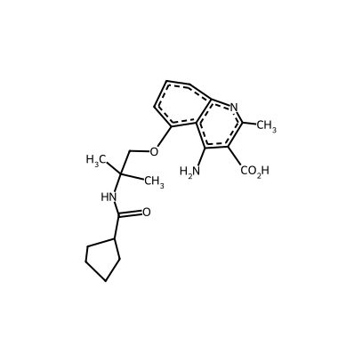 Cc1nc2cccc(OCC(C)(C)NC(=O)C3CCCC3)c2c(N)c1C(=O)O